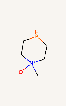 C[N+]1([O-])CCPCC1